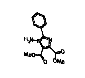 COC(=O)c1nc(-c2ccccc2)n(N)c1C(=O)OC